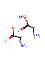 NCC(=O)[O-].NCC(=O)[O-].[Ba+2]